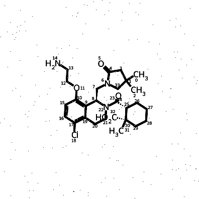 CC1(C)CC(=O)N(C[C@@H]2c3c(OCCN)ccc(Cl)c3CCN2C(=O)[C@@H]2CCCC[C@]2(C)C(=O)O)C1